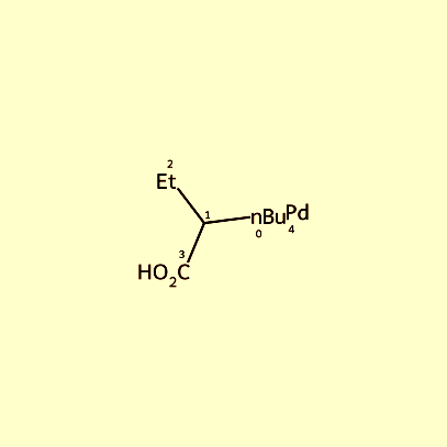 CCCCC(CC)C(=O)O.[Pd]